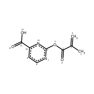 C=C(C)C(=O)Oc1nccc(C(=O)O)n1